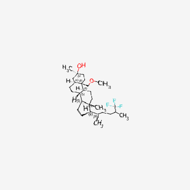 COC[C@]12CC[C@](C)(O)C[C@@H]1CC[C@H]1[C@@H]3CC[C@H]([C@H](C)CCC(C)C(F)(F)F)[C@@]3(C)CC[C@@H]12